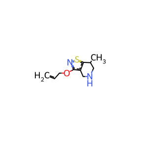 C=CCOc1nsc2c1CNCC2C